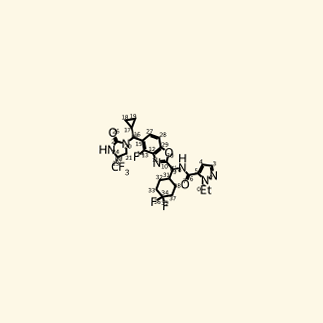 CCn1nccc1C(=O)N[C@H](c1nc2c(F)c([C@H](C3CC3)N3C[C@H](C(F)(F)F)NC3=O)ccc2o1)C1CCC(F)(F)CC1